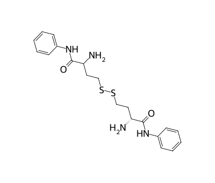 NC(CCSSCC[C@@H](N)C(=O)Nc1ccccc1)C(=O)Nc1ccccc1